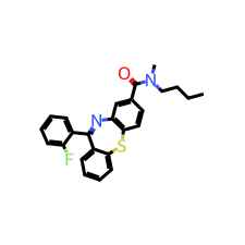 CCCCN(C)C(=O)c1ccc2c(c1)N=C(c1ccccc1F)c1ccccc1S2